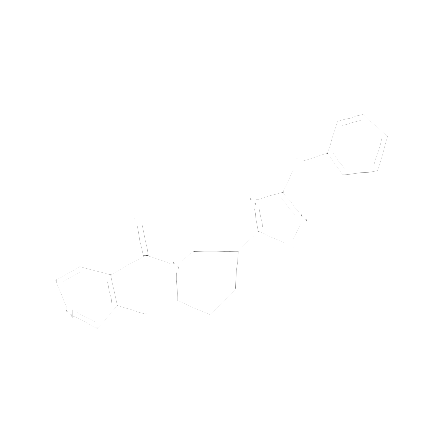 O=C(c1ccncc1F)N1CCCC(c2nc(Oc3ccccc3)no2)C1